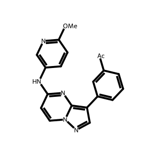 COc1ccc(Nc2ccn3ncc(-c4cccc(C(C)=O)c4)c3n2)cn1